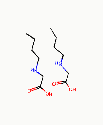 CCCCNCC(=O)O.CCCCNCC(=O)O